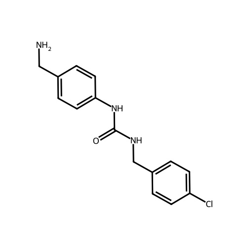 NCc1ccc(NC(=O)NCc2ccc(Cl)cc2)cc1